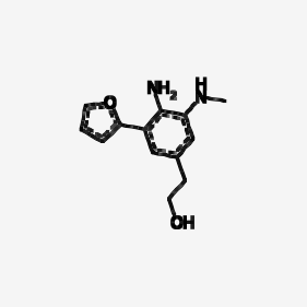 CNc1cc(CCO)cc(-c2ccco2)c1N